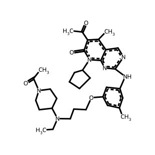 CCN(CCCOc1cc(C)cc(Nc2ncc3c(C)c(C(C)=O)c(=O)n(C4CCCC4)c3n2)c1)C1CCN(C(C)=O)CC1